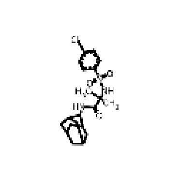 CC(C)(NS(=O)(=O)c1ccc(Cl)cc1)C(=O)NC1C2CC3CC(C2)CC1C3